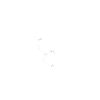 CCC[CH2][Sn][CH2]CCC.[SiH4]